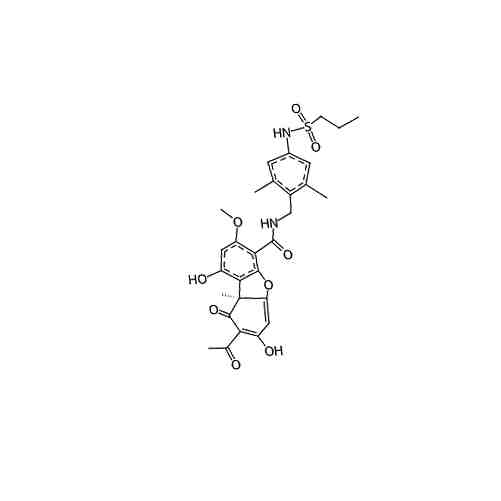 CCCS(=O)(=O)Nc1cc(C)c(CNC(=O)c2c(OC)cc(O)c3c2OC2=CC(O)=C(C(C)=O)C(=O)[C@]23C)c(C)c1